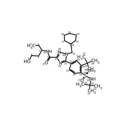 CCC(CCO)NC(=O)c1nc(-c2ccc(S(=O)(=O)NC(C)(C)C)c(C(C)(C)C)c2)n(CC2CCCCC2)n1